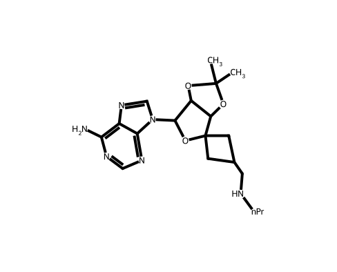 CCCNCC1CC2(C1)OC(n1cnc3c(N)ncnc31)C1OC(C)(C)OC12